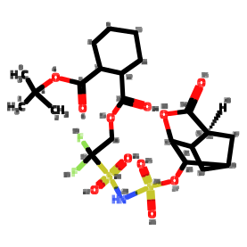 CC(C)(C)OC(=O)C1CCCCC1C(=O)OCC(F)(F)S(=O)(=O)NS(=O)(=O)OC1C2CC3C1OC(=O)[C@H]3C2